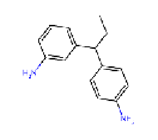 CCC(c1ccc(N)cc1)c1cccc(N)c1